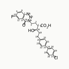 O=C(O)[C@@H](CCn1nnc2ccc(F)cc2c1=O)[C@H](O)CCc1ccc(-c2ccc(Cl)cc2)cc1